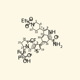 CCS(=O)(=O)N1CCC(c2c[nH]c3c(C(N)=O)cc(-c4csc(CN5CCC[C@H]5C(F)(F)F)c4)cc23)CC1.O=C(O)C(F)(F)F